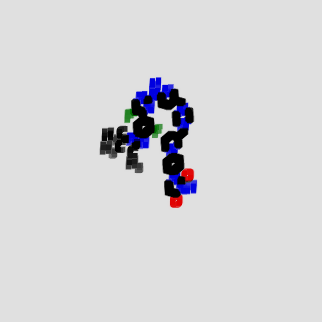 Cc1nc2c(F)cc(-c3nc(Nc4ccc(CN5CCN(CC6CCCN(c7ccc(-n8ccc(=O)[nH]c8=O)cc7)C6)CC5)cn4)ncc3F)cc2n1C(C)C